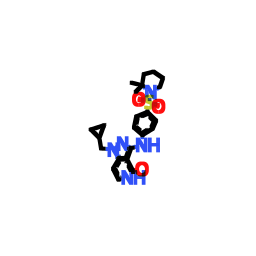 CC1(C)CCCCN1S(=O)(=O)c1ccc(Nc2nn(CC3CC3)c3cc[nH]c(=O)c23)cc1